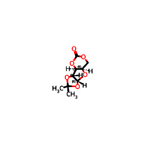 CC1(C)O[C@H]2O[C@@H]3COC(=O)O[C@@H]3[C@H]2O1